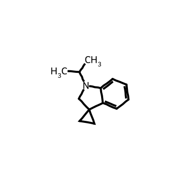 CC(C)N1CC2(CC2)c2ccccc21